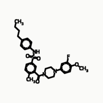 CCCCc1ccc(NS(=O)(=O)c2ccc(C)c(C(=O)N3CCN(c4ccc(OC)c(F)c4)CC3)c2)cc1